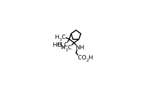 CC1(C)C2CCC(C2)C1(C)NCC(=O)O.Cl